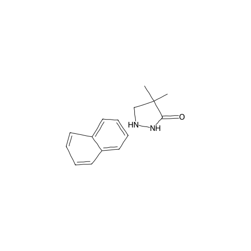 CC1(C)CNNC1=O.c1ccc2ccccc2c1